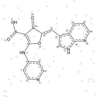 O=C(O)C1=C(Nc2ccncc2)O/C(=C\c2c[nH]c3ncccc23)C1=O